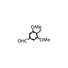 COc1cc(C=O)cc(OC)c1F